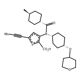 CC(C)(C)C#Cc1cc(N(C(=O)[C@H]2CC[C@H](C)CC2)[C@H]2CC[C@@H](OC3CCOCC3)CC2)c(C(=O)O)s1